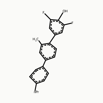 CCCc1ccc(-c2ccc(-c3cc(F)c(O)c(F)c3)c(C)c2)cc1